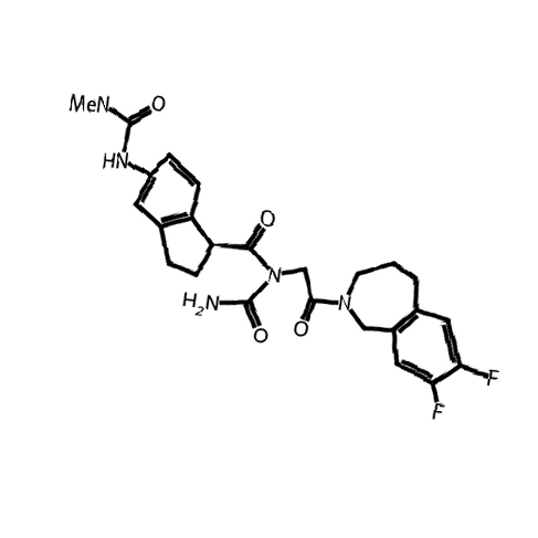 CNC(=O)Nc1ccc2c(c1)CC[C@@H]2C(=O)N(CC(=O)N1CCCc2cc(F)c(F)cc2C1)C(N)=O